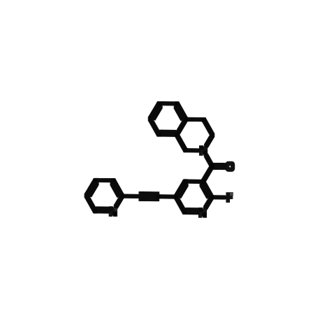 O=C(c1cc(C#Cc2ccccn2)cnc1F)N1CCc2ccccc2C1